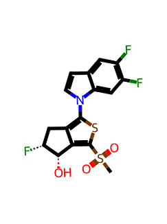 CS(=O)(=O)c1sc(-n2ccc3cc(F)c(F)cc32)c2c1[C@H](O)[C@H](F)C2